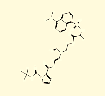 CC(NS(=O)(=O)c1cccc2c(N(C)C)cccc12)C(=O)OCCN(C=O)C=CSC(=O)c1cccn1C(=O)OC(C)(C)C